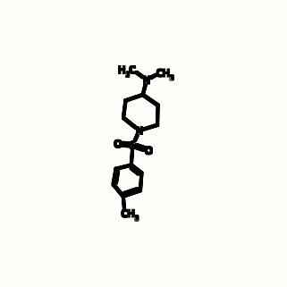 Cc1ccc(S(=O)(=O)N2CCC(N(C)C)CC2)cc1